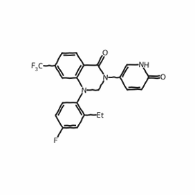 CCc1cc(F)ccc1N1CN(c2ccc(=O)[nH]c2)C(=O)c2ccc(C(F)(F)F)cc21